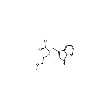 COCCO[C@@H](Cc1c[nH]c2ccccc12)C(=O)O